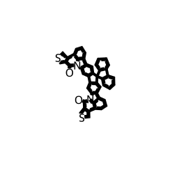 O=c1c2cscc2c2cccc3c4cc5c(cc4n1c23)-c1cc2c(cc1C51c3ccccc3-c3ccccc31)c1cccc3c4cscc4c(=O)n2c31